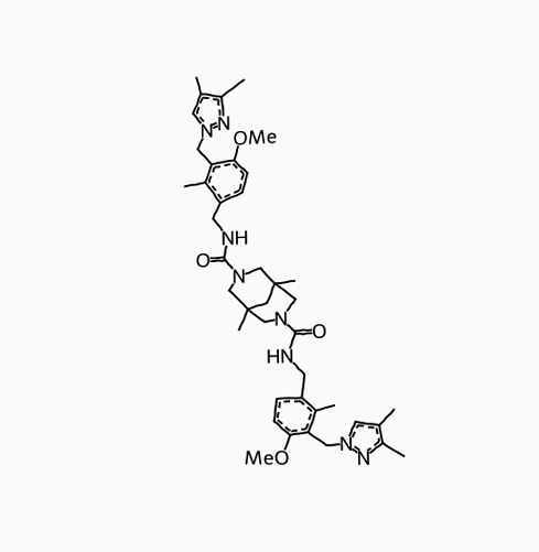 COc1ccc(CNC(=O)N2CC3(C)CN(C(=O)NCc4ccc(OC)c(Cn5cc(C)c(C)n5)c4C)CC(C)(C2)C3)c(C)c1Cn1cc(C)c(C)n1